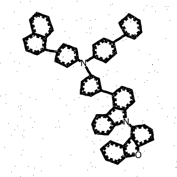 c1ccc(-c2ccc(N(c3ccc(-c4cccc5ccccc45)cc3)c3cccc(-c4cccc5c4c4ccccc4n5-c4cccc5oc6ccccc6c45)c3)cc2)cc1